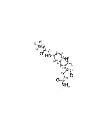 Cc1nc2ccc(NCC(=O)OC(C)(C)C)cc2cc1C(C=O)CCC(N)=O